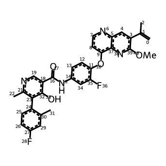 C=C(C)c1cc2nccc(Oc3ccc(NC(=O)c4cnc(C)c(-c5ccc(F)cc5C)c4O)cc3F)c2nc1OC